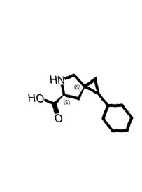 O=C(O)[C@@H]1C[C@@]2(CN1)CC2C1CCCCC1